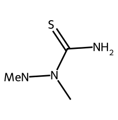 CNN(C)C(N)=S